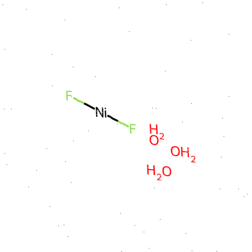 O.O.O.[F][Ni][F]